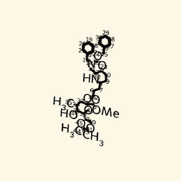 COC(=O)[C@@]1(OCCCC2CCCC(CN(Cc3ccccc3)C(=O)OCc3ccccc3)N2)C[C@@H](C)[C@@H](O)C([C@H]2COC(C)(C)O2)O1